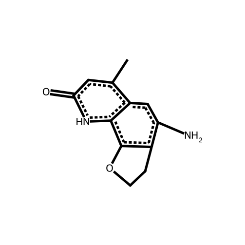 Cc1cc(=O)[nH]c2c3c(c(N)cc12)CCO3